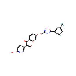 COc1ccc(-c2coc3cc(OCc4noc(-c5cc(F)cc(C(F)(F)F)c5)n4)ccc3c2=O)cn1